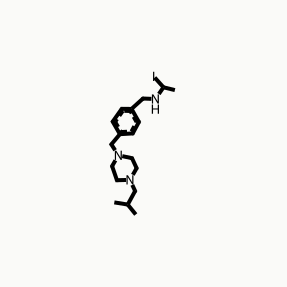 CC(C)CN1CCN(Cc2ccc(CNC(C)I)cc2)CC1